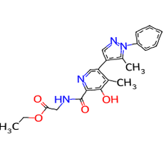 CCOC(=O)CNC(=O)c1ncc(-c2cnn(-c3ccccc3)c2C)c(C)c1O